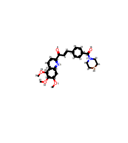 COc1cc2nc(C(=O)C=Cc3ccc(C(=O)N4CCSCC4)cc3)ccc2c(OC)c1OC